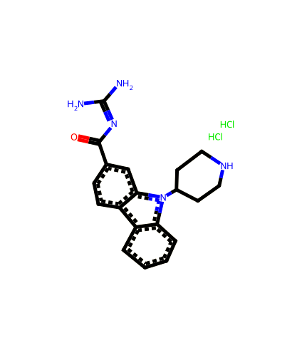 Cl.Cl.NC(N)=NC(=O)c1ccc2c3ccccc3n(C3CCNCC3)c2c1